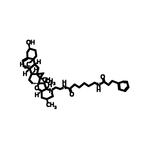 C[C@H]1C[C@H]2O[C@]3(CC[C@H]4[C@@H]5CC=C6C[C@@H](O)CC[C@]6(C)[C@H]5CC45CC53C)[C@H](C)[C@@H]2N(CCNC(=O)CCCCCNC(=O)CCc2ccccc2)C1